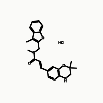 Cc1c(CN(C)C(=O)C=Cc2cnc3c(c2)OC(C)(C)CN3)oc2ccccc12.Cl